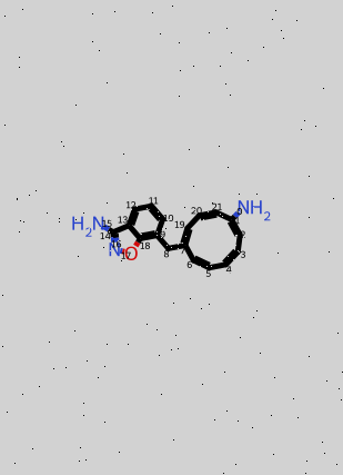 Nc1cccccc(Cc2cccc3c(N)noc23)ccc1